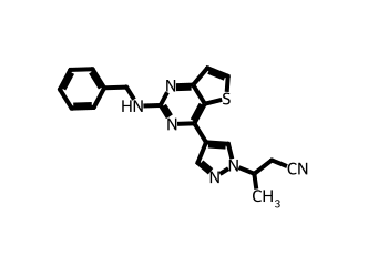 CC(CC#N)n1cc(-c2nc(NCc3ccccc3)nc3ccsc23)cn1